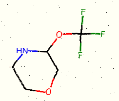 FC(F)(F)OC1COC[CH]N1